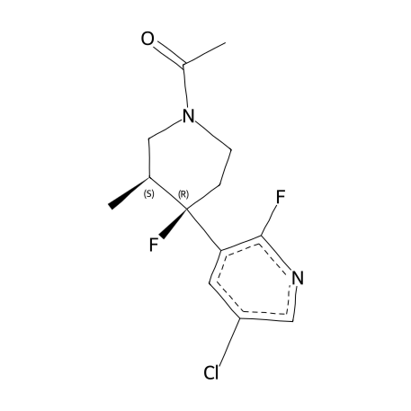 CC(=O)N1CC[C@](F)(c2cc(Cl)cnc2F)[C@@H](C)C1